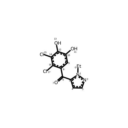 CCn1nccc1C(=O)c1cc(O)c(O)c(Cl)c1Cl